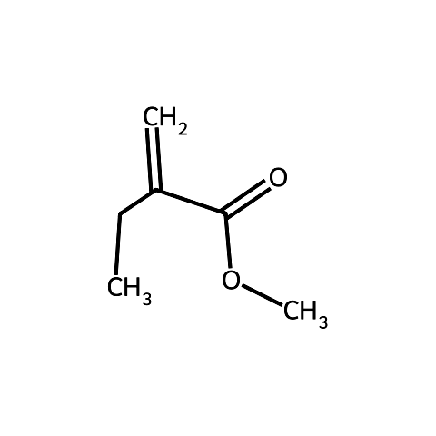 C=C(CC)C(=O)OC